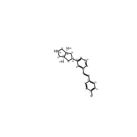 Fc1ccc(/C=C/c2cncc(N3C[C@H]4CNC[C@H]4C3)c2)cc1